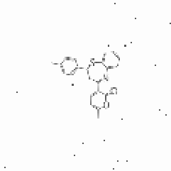 Cc1ccc(C2CC(c3ccc(C)oc3=O)=Nc3ccccc3S2)cc1